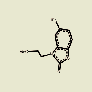 COCCn1c(=O)oc2ccc(C(C)C)cc21